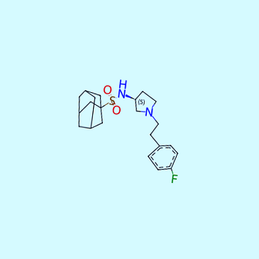 O=S(=O)(N[C@H]1CCN(CCc2ccc(F)cc2)C1)C12CC3CC(CC(C3)C1)C2